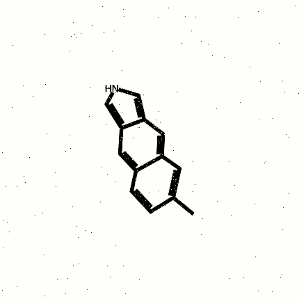 Cc1ccc2cc3c[nH]cc3cc2c1